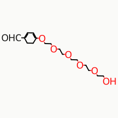 O=CC1=CC=C(OCCOCCOCCOCCOCCO)CC1